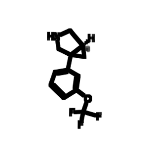 FC(F)(F)Oc1cccc(C23CNC[C@H]2C3)c1